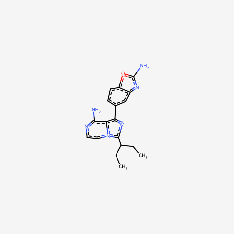 CCC(CC)c1nc(-c2ccc3oc(N)nc3c2)c2c(N)nccn12